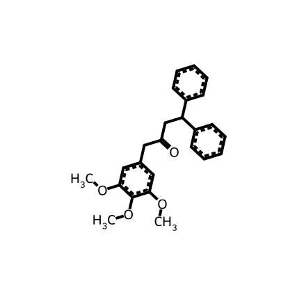 COc1cc(CC(=O)CC(c2ccccc2)c2ccccc2)cc(OC)c1OC